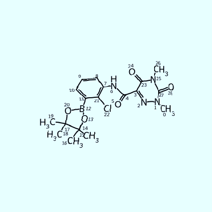 Cn1nc(C(=O)Nc2cccc(B3OC(C)(C)C(C)(C)O3)c2Cl)c(=O)n(C)c1=O